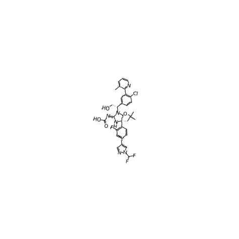 Cc1cccnc1-c1cc([C@@H](CO)N2C(=O)[C@@](CC(C)(C)C)(c3ccc(-c4cnn(C(F)F)c4)cc3F)N/C2=N\C(=O)O)ccc1Cl